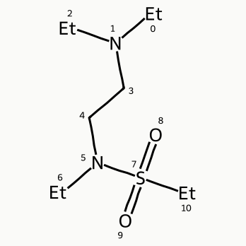 CCN(CC)CCN(CC)S(=O)(=O)CC